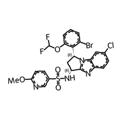 COc1ccc(S(=O)(=O)N[C@@H]2C[C@H](c3c(Br)cccc3OC(F)F)n3c2nc2ccc(Cl)cc23)cn1